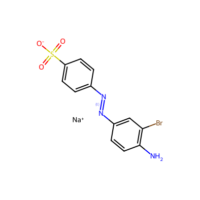 Nc1ccc(/N=N/c2ccc(S(=O)(=O)[O-])cc2)cc1Br.[Na+]